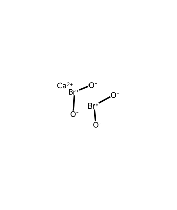 [Ca+2].[O-][Br+][O-].[O-][Br+][O-]